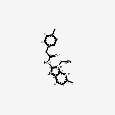 Cc1ccc(CC(=O)Nc2nc3ccc(C)nc3n2CC(C)C)cc1